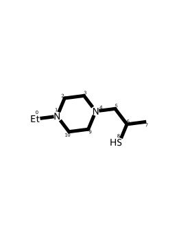 CCN1CCN(CC(C)S)CC1